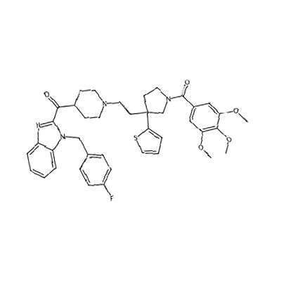 COc1cc(C(=O)N2CCC(CCN3CCC(C(=O)c4nc5ccccc5n4Cc4ccc(F)cc4)CC3)(c3cccs3)C2)cc(OC)c1OC